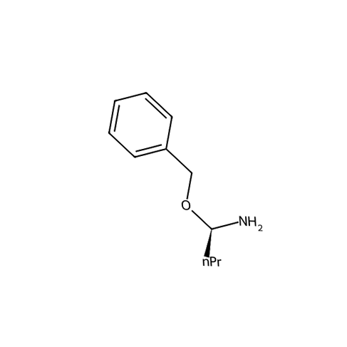 CCC[C@H](N)OCc1ccccc1